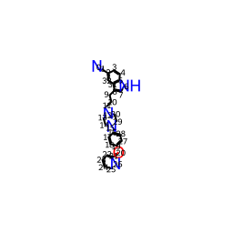 N#Cc1ccc2[nH]cc(CCCN3CCN(c4ccc(Oc5ccccn5)cc4)CC3)c2c1